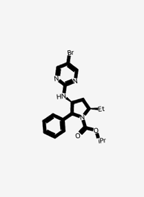 CC[C@@H]1C[C@H](Nc2ncc(Br)cn2)C(c2ccccc2)N1C(=O)OC(C)C